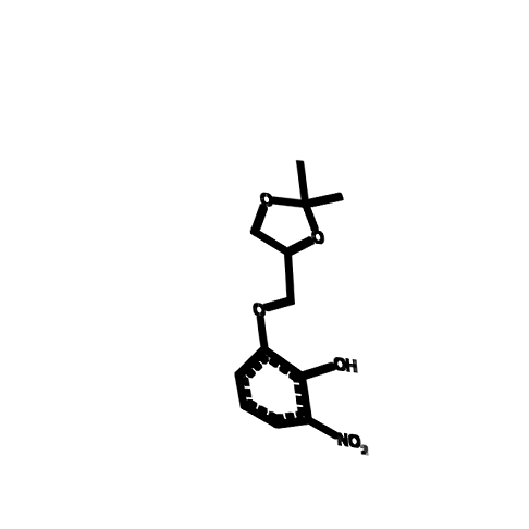 CC1(C)OCC(COc2cccc([N+](=O)[O-])c2O)O1